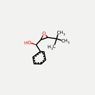 CC(C)(C)C1OC1[C@H](O)c1ccccc1